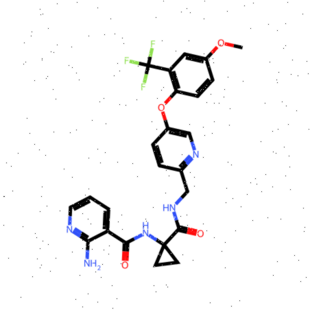 COc1ccc(Oc2ccc(CNC(=O)C3(NC(=O)c4cccnc4N)CC3)nc2)c(C(F)(F)F)c1